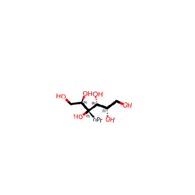 CCC[C@@](O)([C@H](O)CO)[C@H](O)[C@@H](O)CO